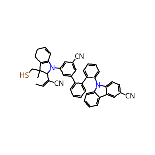 C/C=C(/C#N)C1N(c2cc(C#N)cc(-c3ccccc3-c3ccccc3-n3c4ccccc4c4cc(C#N)ccc43)c2)C2=C(CCC=C2)C1(C)CS